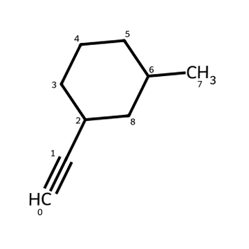 C#CC1CCCC(C)C1